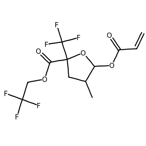 C=CC(=O)OC1OC(C(=O)OCC(F)(F)F)(C(F)(F)F)CC1C